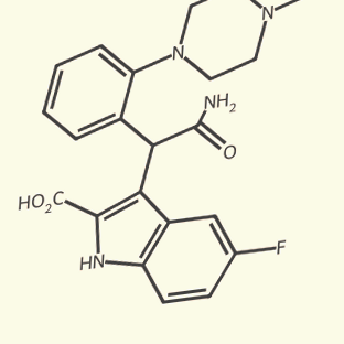 CN1CCN(c2ccccc2C(C(N)=O)c2c(C(=O)O)[nH]c3ccc(F)cc23)CC1